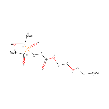 COCCOCCOC(=O)CCP(=O)(C(=O)SC)C(=O)SC